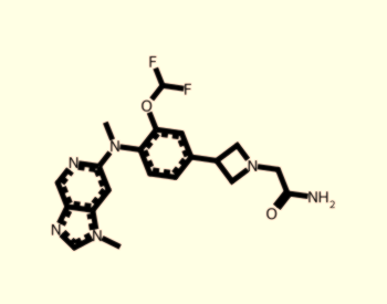 CN(c1cc2c(cn1)ncn2C)c1ccc(C2CN(CC(N)=O)C2)cc1OC(F)F